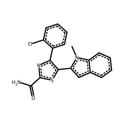 Cn1c(-c2sc(C(N)=O)nc2-c2ccccc2Cl)cc2ccccc21